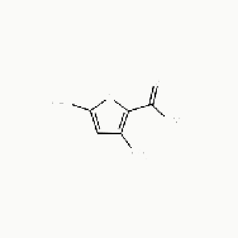 COC(=O)c1oc(C=O)cc1C(=O)O